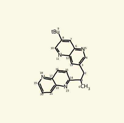 CC(Cc1cnc2cc(C(C)(C)C)cnc2c1)c1ccc2ncccc2n1